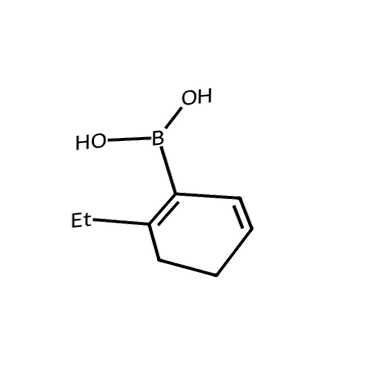 CCC1=C(B(O)O)C=CCC1